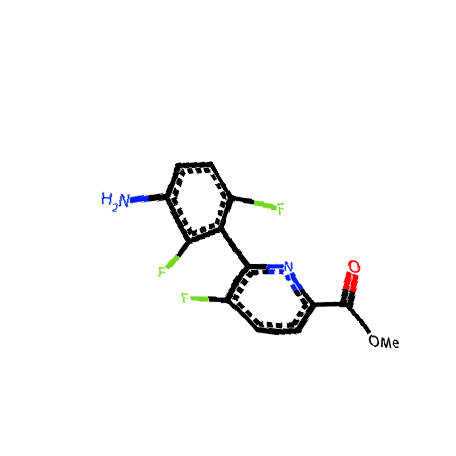 COC(=O)c1ccc(F)c(-c2c(F)ccc(N)c2F)n1